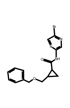 O=C(Nc1cnc(Br)cn1)C1CC1COCc1ccccc1